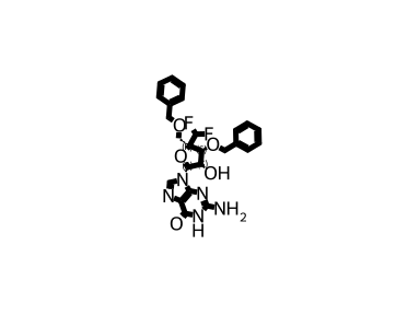 Nc1nc2c(ncn2[C@@H]2O[C@@](COCc3ccccc3)(C(F)F)[C@@H](OCc3ccccc3)[C@@H]2O)c(=O)[nH]1